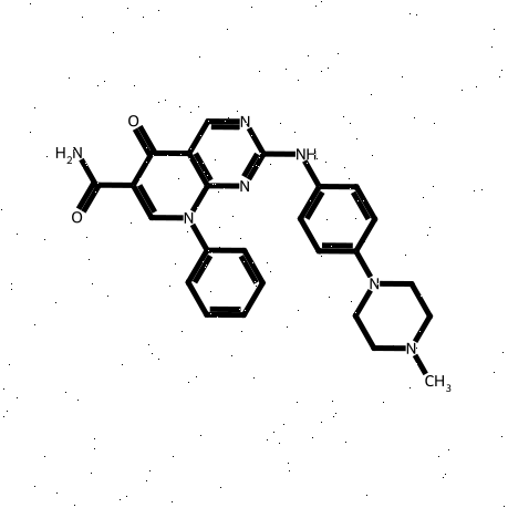 CN1CCN(c2ccc(Nc3ncc4c(=O)c(C(N)=O)cn(-c5ccccc5)c4n3)cc2)CC1